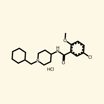 COc1ccc(Cl)cc1C(=O)NC1CCN(CC2CCCCC2)CC1.Cl